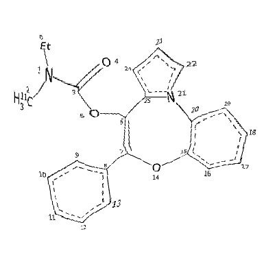 CCN([11CH3])C(=O)OC1=C(c2ccccc2)Oc2ccccc2-n2cccc21